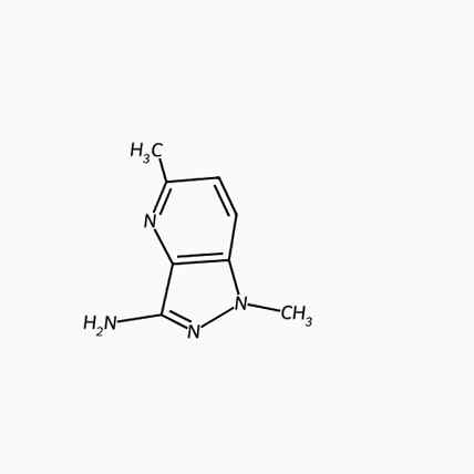 Cc1ccc2c(n1)c(N)nn2C